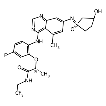 Cc1cc(N=S2(=O)CCC(O)C2)cc2ncnc(Nc3ccc(F)cc3O[C@H](C)C(=O)NCC(F)(F)F)c12